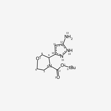 CC(C)(C)OC(=O)N1CCOCC1c1cc(N)[nH]n1